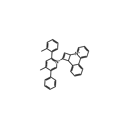 Cc1cc(-c2ccccc2C)[n+](C2=CC3C2c2ccccc2-c2cccc[n+]23)cc1-c1ccccc1